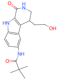 CC(C)(C)C(=O)Nc1ccc2[nH]c3c(c2c1)C(CCO)CNC3=O